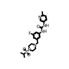 Cc1ccc(NC(=O)Nc2cc(F)cc(CN3CCN(S(=O)(=O)C(C)C)CC3)c2)cn1